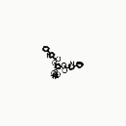 CC1(C)OB(c2cc(OC(=O)c3ccc(-c4ccccc4)nc3)cc(OC(=O)c3ccc(-c4ccccc4)nc3)c2)OC1(C)C